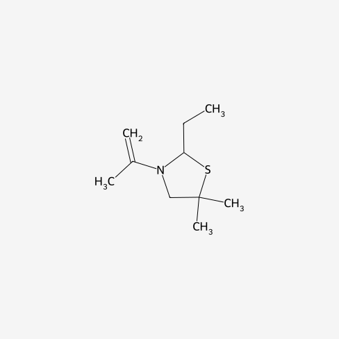 C=C(C)N1CC(C)(C)SC1CC